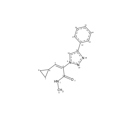 CNC(=O)C(=CC1CC1)n1cc(-c2ccccc2)nn1